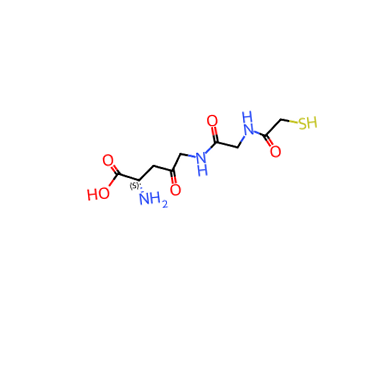 N[C@@H](CC(=O)CNC(=O)CNC(=O)CS)C(=O)O